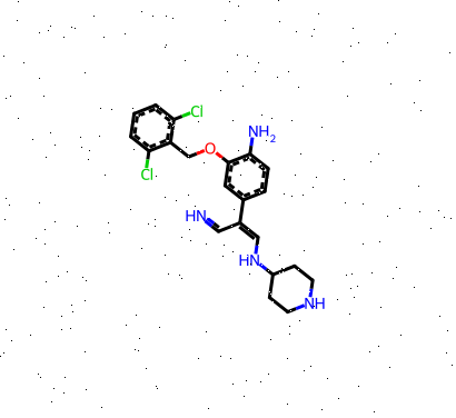 N=C/C(=C\NC1CCNCC1)c1ccc(N)c(OCc2c(Cl)cccc2Cl)c1